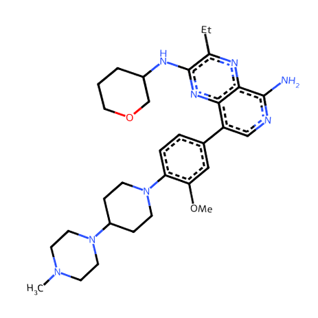 CCc1nc2c(N)ncc(-c3ccc(N4CCC(N5CCN(C)CC5)CC4)c(OC)c3)c2nc1NC1CCCOC1